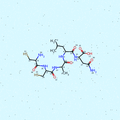 CC(C)CC(NC(=O)C(C)NC(=O)C(CS)NC(=O)C(N)CS)C(=O)NC(CC(N)=O)C(=O)O